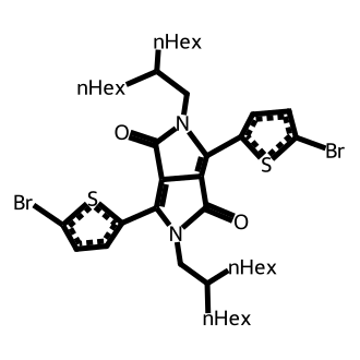 CCCCCCC(CCCCCC)CN1C(=O)C2=C(c3ccc(Br)s3)N(CC(CCCCCC)CCCCCC)C(=O)C2=C1c1ccc(Br)s1